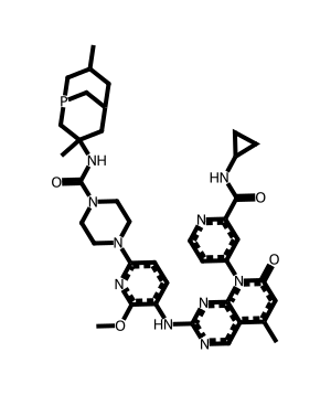 COc1nc(N2CCN(C(=O)NC3(C)CC4CC(C)CP(C4)C3)CC2)ccc1Nc1ncc2c(C)cc(=O)n(-c3ccnc(C(=O)NC4CC4)c3)c2n1